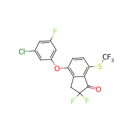 O=C1c2c(SC(F)(F)F)ccc(Oc3cc(F)cc(Cl)c3)c2CC1(F)F